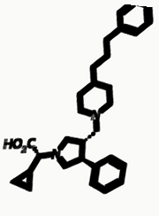 O=C(O)[C@@H](C1CC1)N1C[C@H](CN2CCC(CCCc3ccccc3)CC2)[C@@H](c2ccccc2)C1